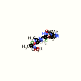 CCOCC(=O)N[C@@H](C)c1cc(C)cc(Cl)c1COc1cccc2c(-c3nc(Cc4cc(Cl)c(COc5cccc6c(-c7ncnn7C)cc(C)nc56)c([C@H](C)NC(=O)COC)c4)nn3C)cc(C)nc12